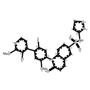 COc1cc(-c2ccnc(OC)c2Cl)c(F)cc1-n1c(=O)ccc2cc(S(=O)(=O)Nc3ccon3)ccc21